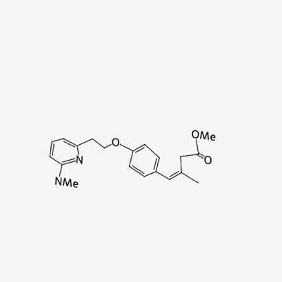 CNc1cccc(CCOc2ccc(/C=C(/C)CC(=O)OC)cc2)n1